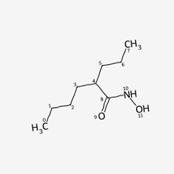 CCCCC(CCC)C(=O)NO